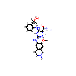 COc1cc2c(cc1Nc1nnc(C(N)=O)c(Nc3ccccc3C(C)(C)O)n1)CCN(C)C2